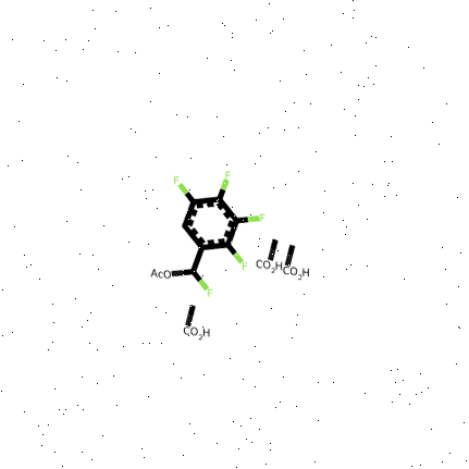 CC(=O)O.CC(=O)O.CC(=O)O.CC(=O)OC(F)c1cc(F)c(F)c(F)c1F